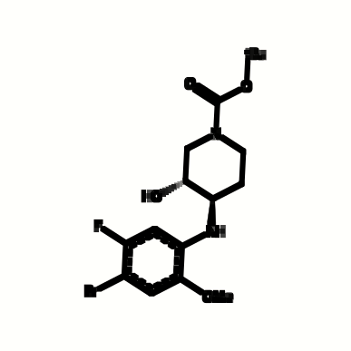 COc1cc(Br)c(F)cc1N[C@@H]1CCN(C(=O)OC(C)(C)C)C[C@H]1O